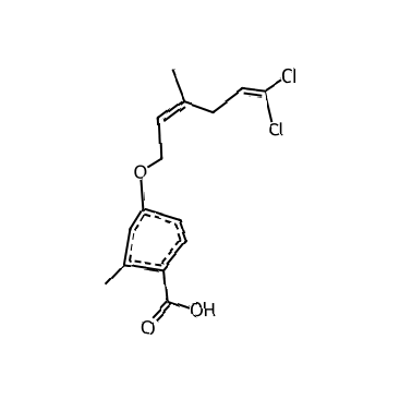 CC(=CCOc1ccc(C(=O)O)c(C)c1)CC=C(Cl)Cl